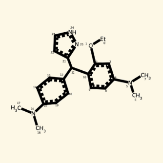 CCOc1cc(N(C)C)ccc1C(c1ccc(N(C)C)cc1)c1cc[nH]n1